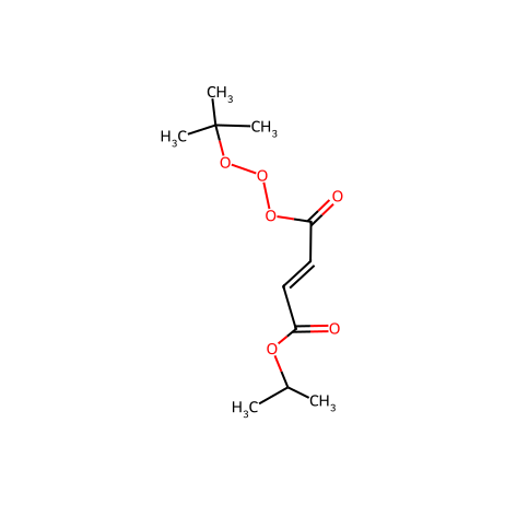 CC(C)OC(=O)C=CC(=O)OOOC(C)(C)C